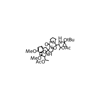 COC(=O)C(NC(=O)C1(Cc2ccc(OC)cc2)CCCN1C(=O)[C@@H]1CCCN1C(=O)C(NC(=O)OC(C)(C)C)C(C)OC(C)=O)C(C)OC(C)=O